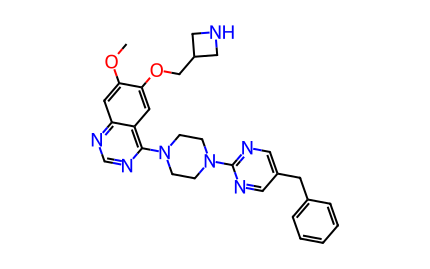 COc1cc2ncnc(N3CCN(c4ncc(Cc5ccccc5)cn4)CC3)c2cc1OCC1CNC1